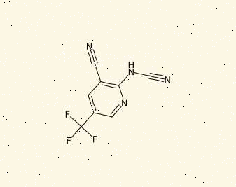 N#CNc1ncc(C(F)(F)F)cc1C#N